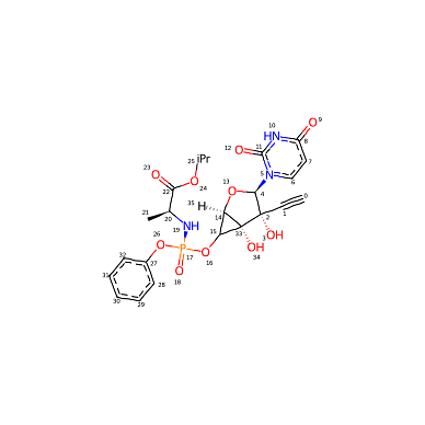 C#C[C@]1(O)[C@H](n2ccc(=O)[nH]c2=O)O[C@@H]2C(O[P@@](=O)(N[C@@H](C)C(=O)OC(C)C)Oc3ccccc3)[C@@]21O